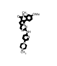 COc1ccc2c(c1)n(C)c(=O)c1cc3cnc(Nc4ccc(N5CCN(C)CC5)cn4)nn3c12